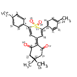 Cc1ccc(C2=CC(=C3C(=O)CC(C)(C)CC3=O)C=C(c3ccc(C)cc3)S2(=O)=O)cc1